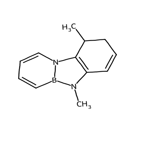 CC1CC=CC2=C1N1C=CC=CB1N2C